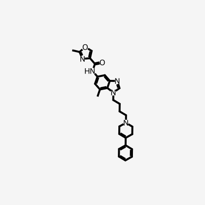 Cc1nc(C(=O)Nc2cc(C)c3c(c2)ncn3CCCCN2CC=C(c3ccccc3)CC2)co1